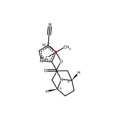 CC(C)(C)OC(=O)N1[C@@H]2CC[C@H]1CN(c1ncc(C#N)s1)C2